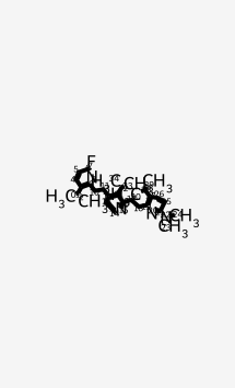 CC(C)c1ccc(F)nc1CCc1ccnc(CCc2nc(N(C)C)ccc2C(C)C)c1C(C)C